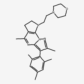 Cc1cc(C)c(-c2c(C)nn3c4c(c(C)nc23)CCN4CCN2CCOCC2)c(C)c1